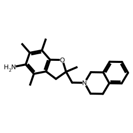 Cc1c(C)c2c(c(C)c1N)CC(C)(CN1CCc3ccccc3C1)O2